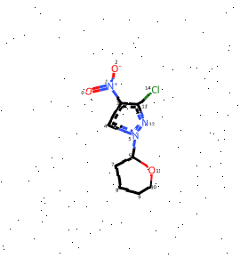 O=[N+]([O-])c1cn(C2CCCCO2)nc1Cl